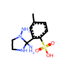 Cc1ccc(S(=O)(=O)O)c(C2(N)NCCN2N)c1